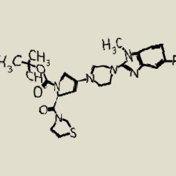 Cn1c(N2CCN([C@H]3C[C@@H](C(=O)N4CCSC4)N(C(=O)OC(C)(C)C)C3)CC2)nc2cc(F)ccc21